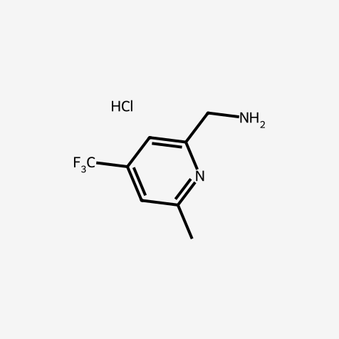 Cc1cc(C(F)(F)F)cc(CN)n1.Cl